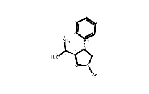 CC(=O)N1C[C@@H](c2ccccc2)[C@H](C(C)N)C1